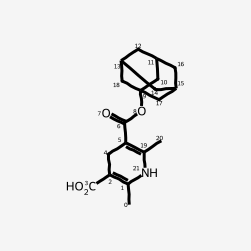 CC1=C(C(=O)O)CC(C(=O)OC23CC4CC(CC(C4)C2)C3)=C(C)N1